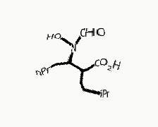 CCCC(C(CC(C)C)C(=O)O)N(O)C=O